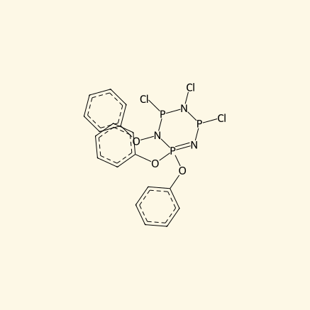 ClN1P(Cl)N=P(Oc2ccccc2)(Oc2ccccc2)N(Oc2ccccc2)P1Cl